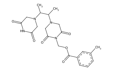 Cc1cccc(C(=O)OCN2C(=O)CN(C(C)C(C)N3CC(=O)NC(=O)C3)CC2=O)c1